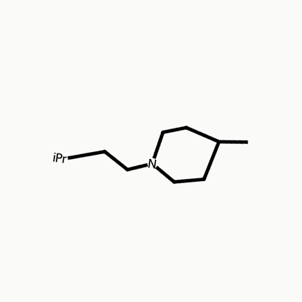 CC(C)CCN1CCC(C)CC1